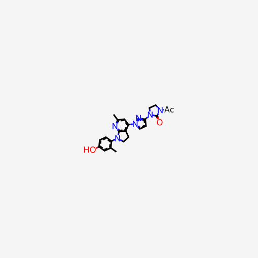 CC(=O)N1CCN(c2ccn(-c3cc(C)nc4c3CCN4c3ccc(O)cc3C)n2)C1=O